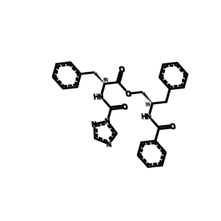 O=C(N[C@H](COC(=O)[C@@H](Cc1ccccc1)NC(=O)n1cncn1)Cc1ccccc1)c1ccccc1